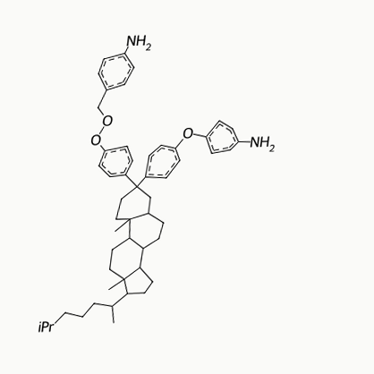 CC(C)CCCC(C)C1CCC2C3CCC4CC(c5ccc(OOCc6ccc(N)cc6)cc5)(c5ccc(Oc6ccc(N)cc6)cc5)CCC4(C)C3CCC12C